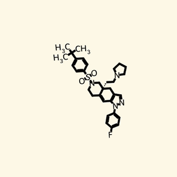 CC(C)(C)c1ccc(S(=O)(=O)N2CCC3=Cc4c(cnn4-c4ccc(F)cc4)C[C@]3(CCN3CCCC3)C2)cc1